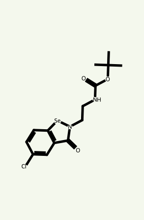 CC(C)(C)OC(=O)NCCn1[se]c2ccc(Cl)cc2c1=O